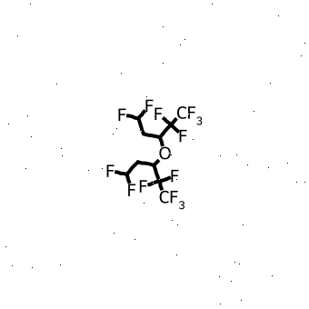 FC(F)CC(OC(CC(F)F)C(F)(F)C(F)(F)F)C(F)(F)C(F)(F)F